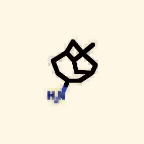 CC12CC3CC(N)CCC(C1)C2C3